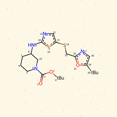 CC(C)(C)OC(=O)N1CCCC(Nc2ncc(SCc3ncc(C(C)(C)C)o3)s2)C1